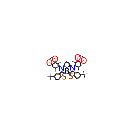 Cc1cc2c(c(C)c1N1c3cccc4c3B(c3sc5ccc(C(C)(C)C)cc5c31)c1sc3ccc(C(C)(C)C)cc3c1N4c1c(C)cc3c(c1C)OCCO3)OCCO2